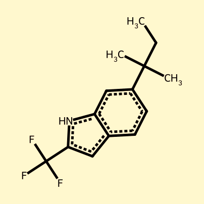 CCC(C)(C)c1ccc2cc(C(F)(F)F)[nH]c2c1